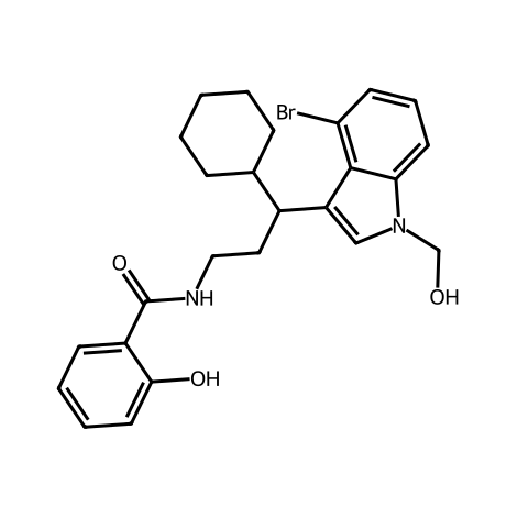 O=C(NCCC(c1cn(CO)c2cccc(Br)c12)C1CCCCC1)c1ccccc1O